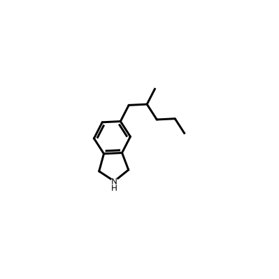 CCCC(C)Cc1ccc2c(c1)CNC2